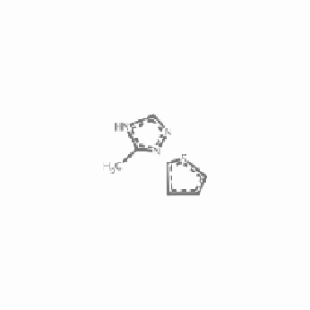 Cc1nnc[nH]1.c1ccsc1